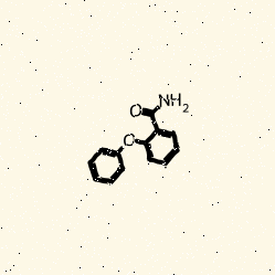 NC(=O)c1cc[c]cc1Oc1ccccc1